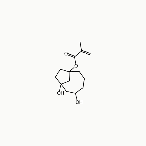 C=C(C)C(=O)OC12CCCC(O)CC(O)(CC1)C2